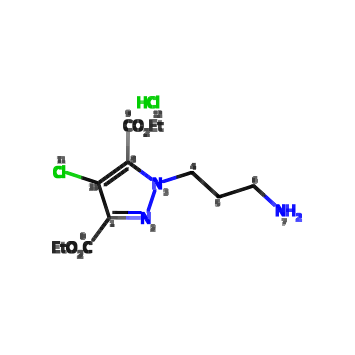 CCOC(=O)c1nn(CCCN)c(C(=O)OCC)c1Cl.Cl